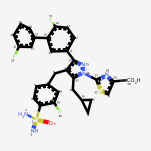 N=S(N)(=O)c1ccc(Cc2c(-c3ccc(F)c(-c4cccc(F)c4)c3)nn(-c3nc(C(=O)O)cs3)c2CC2CC2)cc1F